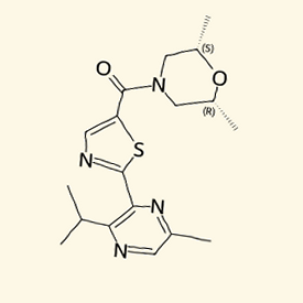 Cc1cnc(C(C)C)c(-c2ncc(C(=O)N3C[C@@H](C)O[C@@H](C)C3)s2)n1